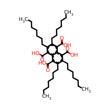 CCCCCCCc1c(CCCCCCC)c(C(=O)O)c2c(C(=O)O)c(CCCCCCC)c(CCCCCCC)c(C(=O)O)c2c1C(=O)O